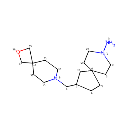 NN1CCC2(CCC(CN3CCC4(CC3)COC4)C2)CC1